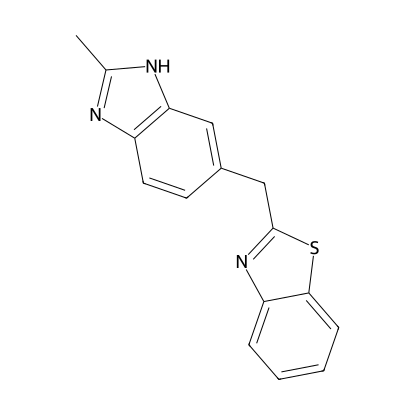 Cc1nc2ccc(Cc3nc4ccccc4s3)cc2[nH]1